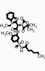 CCCCCC(=O)NS(=O)(=O)c1ccc(OC)c(NC(=O)C(c2nc3ccccc3n2CC)N2C(=O)OC(C)(C)C2=O)c1